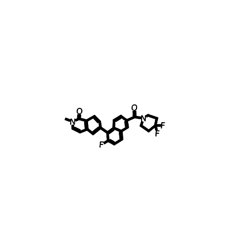 Cn1ccc2cc(-c3c(F)ccc4cc(C(=O)N5CCC(F)(F)CC5)ccc34)ccc2c1=O